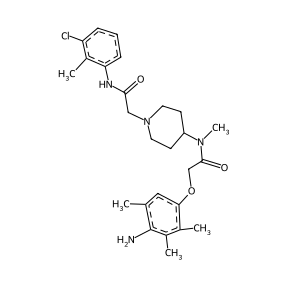 Cc1cc(OCC(=O)N(C)C2CCN(CC(=O)Nc3cccc(Cl)c3C)CC2)c(C)c(C)c1N